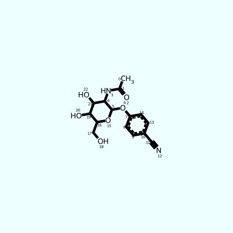 CC(=O)NC1C(Oc2ccc(C#N)cc2)OC(CO)C(O)C1O